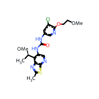 COCCOc1ncc(NC(=O)Nc2cnc3sc(C)nc3c2[C@@H](C)OC)cc1Cl